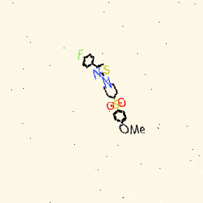 COc1ccc(S(=O)(=O)C2CCN(c3nc(-c4ccc(F)cc4)cs3)CC2)cc1